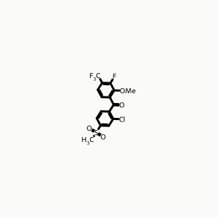 COc1c(C(=O)c2ccc(S(C)(=O)=O)cc2Cl)ccc(C(F)(F)F)c1F